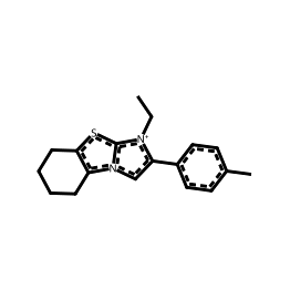 CC[n+]1c(-c2ccc(C)cc2)cn2c3c(sc21)CCCC3